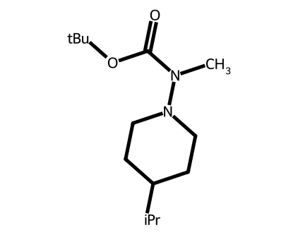 CC(C)C1CCN(N(C)C(=O)OC(C)(C)C)CC1